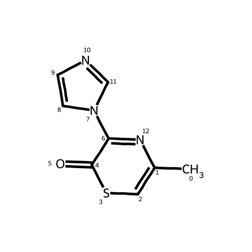 Cc1csc(=O)c(-n2ccnc2)n1